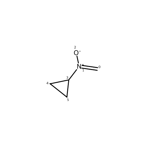 C=[N+]([O-])C1CC1